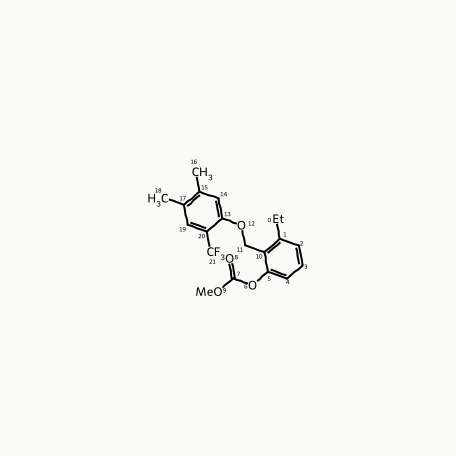 CCc1cccc(OC(=O)OC)c1COc1cc(C)c(C)cc1C(F)(F)F